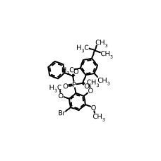 COc1cc(Br)c(OC)c(P(=O)(C(=O)c2ccccc2)C(=O)c2c(C)cc(C(C)(C)C)cc2C)c1OC